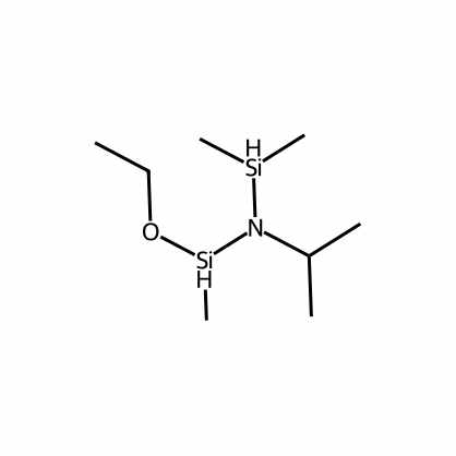 CCO[SiH](C)N(C(C)C)[SiH](C)C